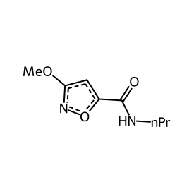 CCCNC(=O)c1cc(OC)no1